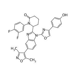 Cc1noc(C)c1-c1ccc2c(c1)nc(C1CCCC(=O)N1c1ccc(F)c(F)c1)n2-c1nc(-c2ccc(O)cc2)co1